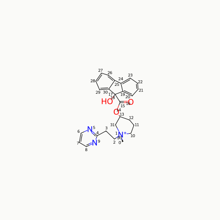 C[N@+]1(CCc2ncccn2)CCCC(OC(=O)C2(O)c3ccccc3-c3ccccc32)C1